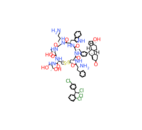 CC(O)[C@@H]1NC(=O)[C@H](CCCCN)NC(=O)[C@@H](Cc2c[nH]c3ccccc23)NC(=O)[C@H](Cc2ccccc2)NC(=O)[C@@H](NC(=O)[C@H](N)Cc2ccccc2)CSSC[C@@H](C(=O)N[C@H](CO)[C@@H](C)O)NC1=O.C[C@]12CC[C@H]3[C@@H](CCC4=CC(=O)CC[C@@]43C)[C@@H]1CC[C@@H]2O.Clc1ccc(C(c2ccccc2Cl)C(Cl)Cl)cc1